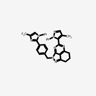 Cc1cnn(C(C)C)c1-c1nc2c3c(nn(Cc4ccc(-c5nc(C(F)(F)F)cn5C(C)C)cc4)c3n1)CCC2